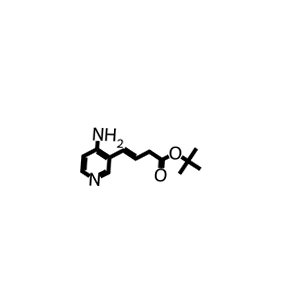 CC(C)(C)OC(=O)C/C=C/c1cnccc1N